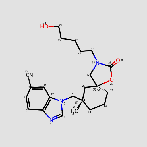 C[C@]1(Cn2cnc3ccc(C#N)cc32)CCC[C@@]2(CN(CCCCCO)C(=O)O2)C1